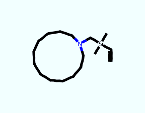 C=C[Si](C)(C)CN1CCCCCCCCCCCC1